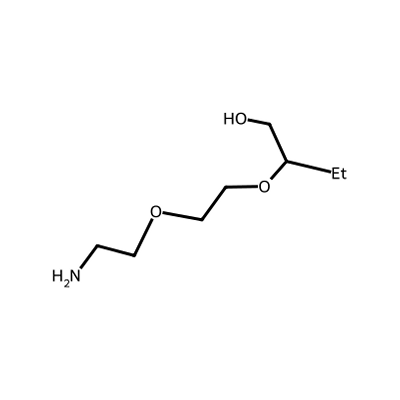 CCC(CO)OCCOCCN